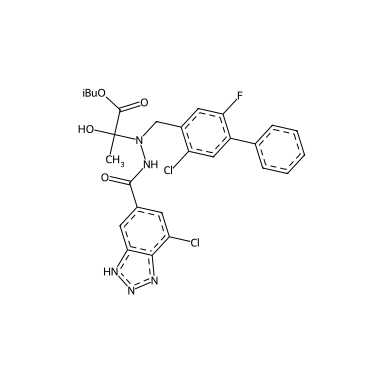 CC(C)COC(=O)C(C)(O)N(Cc1cc(F)c(-c2ccccc2)cc1Cl)NC(=O)c1cc(Cl)c2nn[nH]c2c1